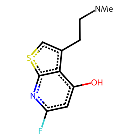 CNCCc1csc2nc(F)cc(O)c12